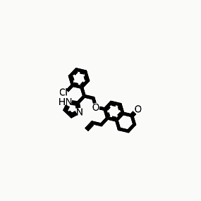 C=CCc1c(OCC(c2ncc[nH]2)c2ccccc2Cl)ccc2c1CCCC2=O